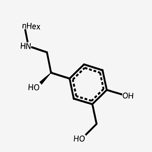 C[CH]CCCCNC[C@H](O)c1ccc(O)c(CO)c1